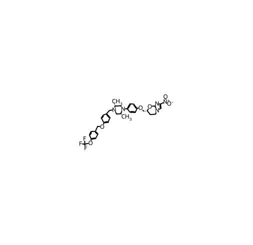 C[C@@H]1CN(c2ccc(OC[C@H]3CCn4cc([N+](=O)[O-])nc4O3)cc2)[C@@H](C)CN1Cc1ccc(OCc2ccc(OC(F)(F)F)cc2)cc1